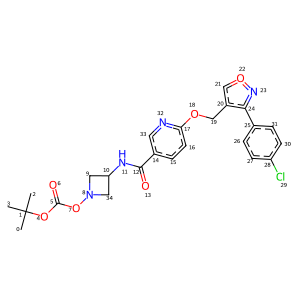 CC(C)(C)OC(=O)ON1CC(NC(=O)c2ccc(OCc3conc3-c3ccc(Cl)cc3)nc2)C1